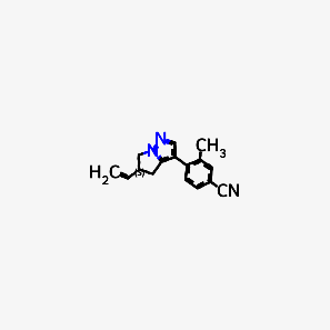 C=C[C@@H]1Cc2c(-c3ccc(C#N)cc3C)cnn2C1